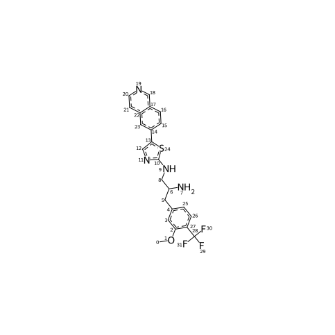 COc1cc(CC(N)CNc2ncc(-c3ccc4cnccc4c3)s2)ccc1C(F)(F)F